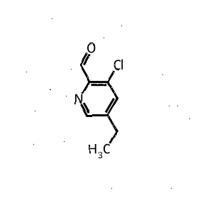 CCc1cnc(C=O)c(Cl)c1